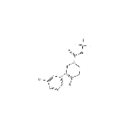 CC(C)(C)OC(=O)N1CCc2sc3nnc(Cl)cc3c2C1